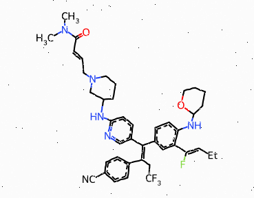 CC/C=C(\F)c1cc(/C(=C(\CC(F)(F)F)c2ccc(C#N)cc2)c2ccc(NC3CCCN(C/C=C/C(=O)N(C)C)C3)nc2)ccc1NC1CCCCO1